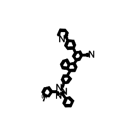 C[C@H]1C=CC=C(c2nc(-c3ccccc3)nc(-c3ccc(-c4ccc(-c5cc(C#N)cc(-c6ccc(-c7ccccn7)cc6)c5)c5ccccc45)cc3)n2)C1